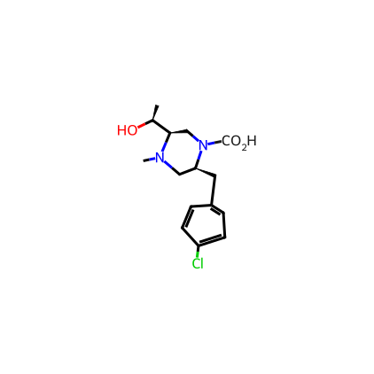 C[C@H](O)[C@H]1CN(C(=O)O)[C@@H](Cc2ccc(Cl)cc2)CN1C